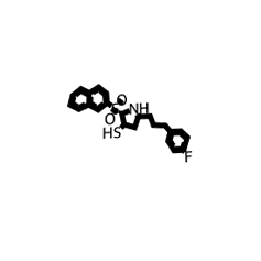 O=S(=O)(c1ccc2ccccc2c1)[C@H]1NC(CCCc2ccc(F)cc2)CC1S